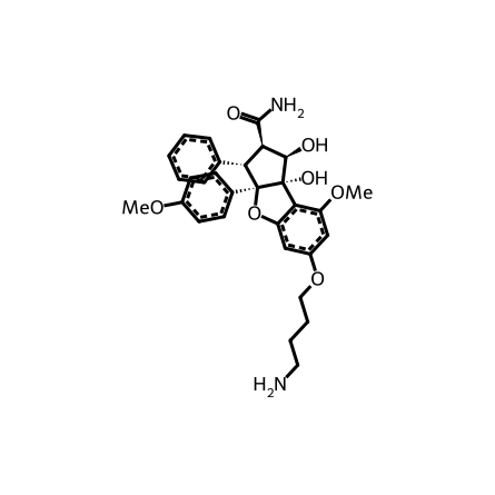 COc1ccc([C@@]23Oc4cc(OCCCCN)cc(OC)c4[C@]2(O)[C@H](O)[C@H](C(N)=O)[C@H]3c2ccccc2)cc1